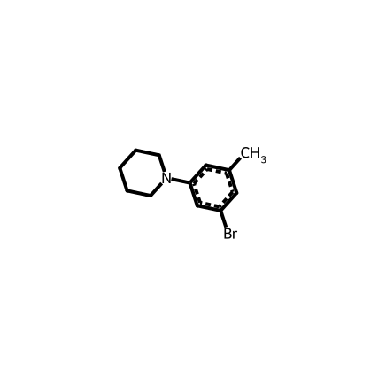 Cc1cc(Br)cc(N2CCCCC2)c1